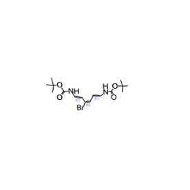 CC(C)(C)OC(=O)N/C=C/C=C(Br)\C=C\NC(=O)OC(C)(C)C